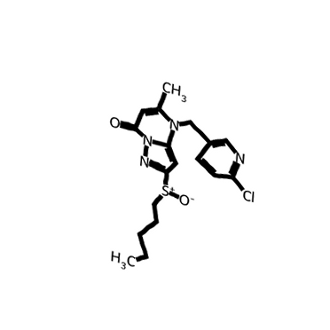 CCCCC[S+]([O-])c1cc2n(Cc3ccc(Cl)nc3)c(C)cc(=O)n2n1